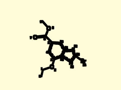 CCOc1cc(C(=O)OC)cc2sc(Br)nc12